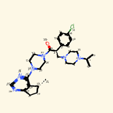 CC(C)N1CCN(C[C@@H](C(=O)N2CCN(c3ncnc4c3[C@H](C)CC4)CC2)c2ccc(Cl)cc2)CC1